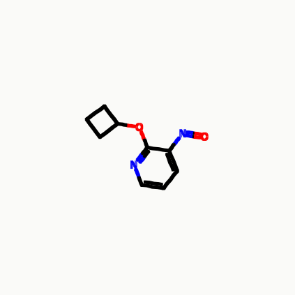 O=Nc1cccnc1OC1CCC1